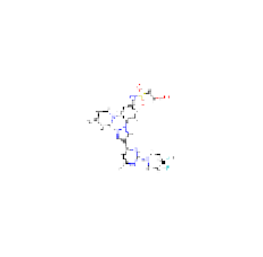 Cc1cc(-c2cnn(-c3ccc(NS(=O)(=O)CCO)cc3N3CCC(C)CC3)c2)nc(N2CCC(F)(F)CC2)n1